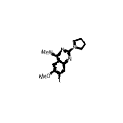 CNc1nc(N2CCCC2)nc2cc(I)c(OC)cc12